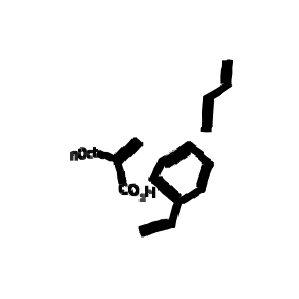 C=C(CCCCCCCC)C(=O)O.C=CC=C.C=Cc1ccccc1